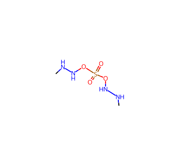 CNNOS(=O)(=O)ONNC